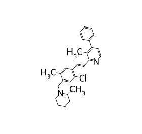 Cc1cc(/C=C/c2nccc(-c3ccccc3)c2C)c(Cl)cc1CN1CCCC[C@H]1C